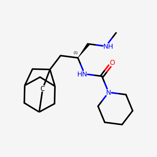 CNC[C@H](CC12CC3CC(CC1C3)C2)NC(=O)N1CCCCC1